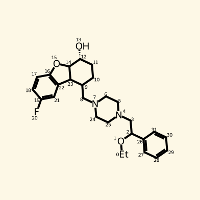 CCOC(CN1CCN(CC2CC[C@@H](O)C3Oc4ccc(F)cc4C23)CC1)c1ccccc1